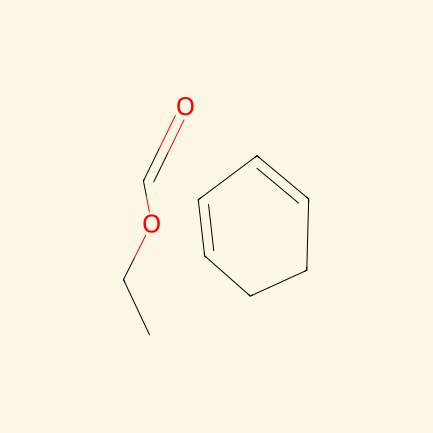 C1=CCCC=C1.CCOC=O